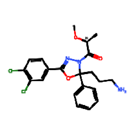 CO[C@@H](C)C(=O)N1N=C(c2ccc(Cl)c(Cl)c2)OC1(CCCN)c1ccccc1